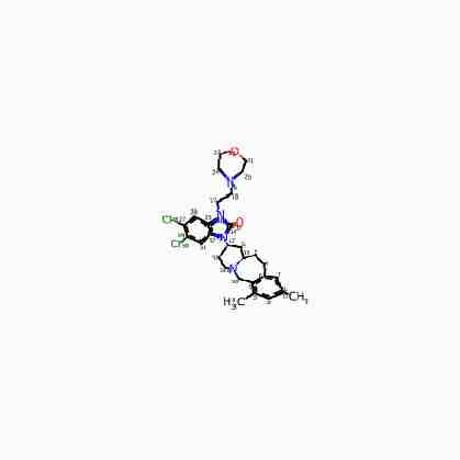 Cc1cc(C)c2c(c1)CCC1CC(n3c(=O)n(CCN4CCOCC4)c4cc(Cl)c(Cl)cc43)CCN1C2